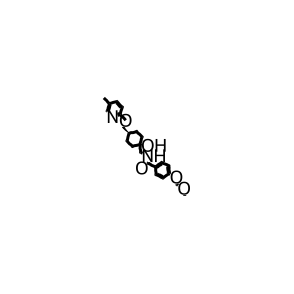 COCOc1ccc(C(=O)NC[C@]2(O)CC[C@@H](COc3ccc(C)cn3)CC2)cc1